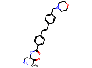 COC(=O)[C@H](CN)NC(=O)c1ccc(/C=C/c2ccc(CN3CCOCC3)cc2)cc1